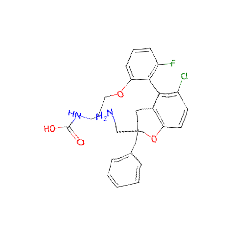 NCC1(c2ccccc2)Cc2c(ccc(Cl)c2-c2c(F)cccc2OCCNC(=O)O)O1